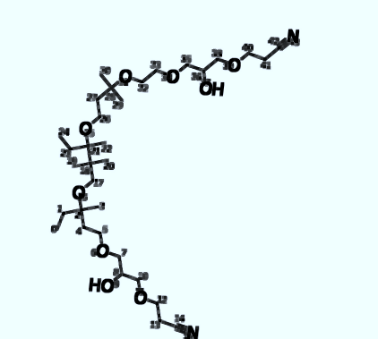 CCC(C)(CCOCC(O)COCCC#N)OCC(C)(C)C(C)(CC)OCCC(C)(C)OCCOCC(O)COCCC#N